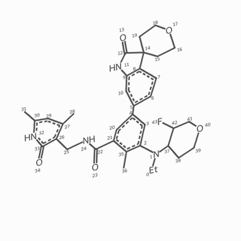 CCN(c1cc(-c2ccc3c(c2)NC(=O)C32CCOCC2)cc(C(=O)NCc2c(C)cc(C)[nH]c2=O)c1C)C1CCOCC1F